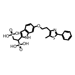 Cc1sc(-c2ccccc2)nc1CCOc1ccc2cc(C(CP(=O)(O)O)P(=O)(O)O)[nH]c2c1